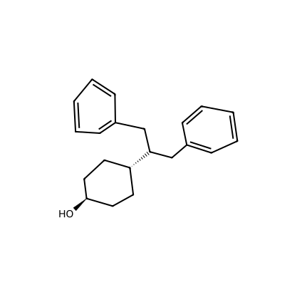 O[C@H]1CC[C@H](C(Cc2ccccc2)Cc2ccccc2)CC1